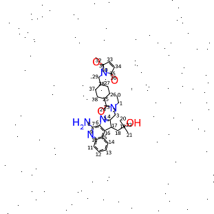 CCN(CC1=Nc2c(N)nc3ccccc3c2C1CC(C)(C)O)C(=O)C1CCC(CN2C(=O)C=CC2=O)CC1